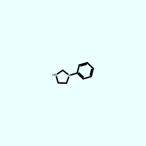 c1ccc(N2CCNC2)cc1